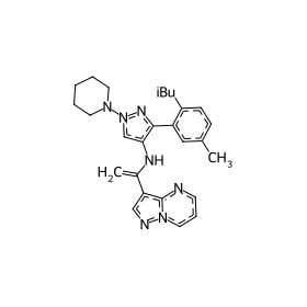 C=C(Nc1cn(N2CCCCC2)nc1-c1cc(C)ccc1C(C)CC)c1cnn2cccnc12